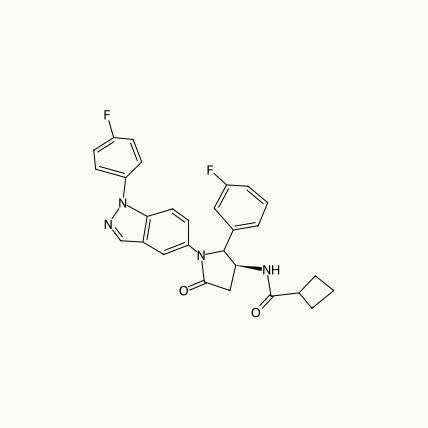 O=C(N[C@H]1CC(=O)N(c2ccc3c(cnn3-c3ccc(F)cc3)c2)C1c1cccc(F)c1)C1CCC1